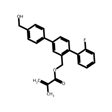 C=C(C)C(=O)OCc1cc(-c2ccc(CO)cc2)ccc1-c1ccccc1F